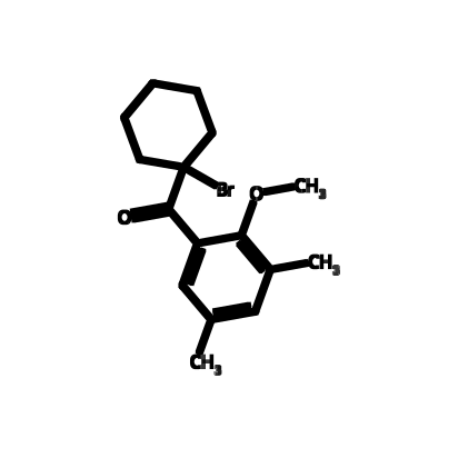 COc1c(C)cc(C)cc1C(=O)C1(Br)CCCCC1